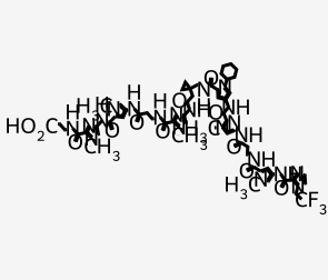 Cn1cc(NC(=O)c2nccn2CC(F)(F)F)cc1C(=O)NCCC(=O)Nc1cn(C)c(C(=O)Nc2cc(C(=O)NCC3(CC(=O)Nc4cn(C)c(C(=O)NCCC(=O)Nc5cc(C(=O)Nc6cn(C)c(C(=O)NCCC(=O)O)n6)n(C)c5)n4)CC3)n(C3CCCCC3)c2)n1